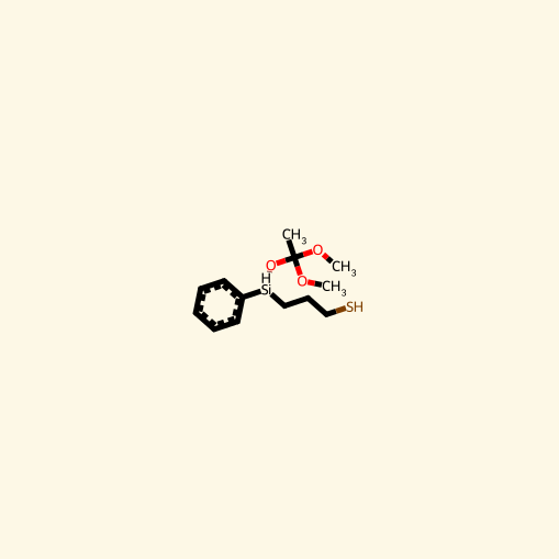 COC(C)(OC)O[SiH](CCCS)c1ccccc1